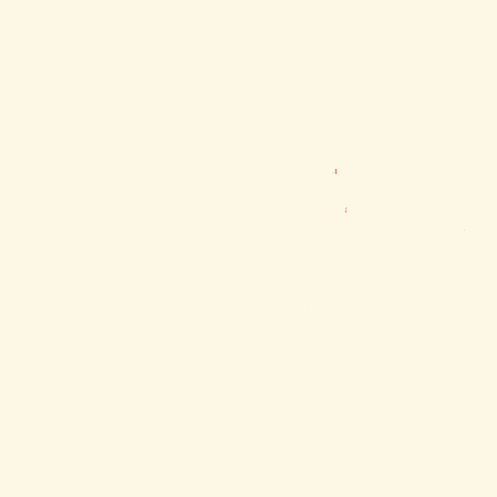 c1ccc(-c2ccc(-c3c4ccccc4c(-c4cccc5c4-c4cccc6cccc(c46)S5)c4ccccc34)cc2)cc1